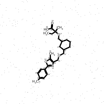 CCC(C)(OCC1CCCC(COCc2nc(-c3ccc(C)cc3)oc2C)C1)C(=O)O